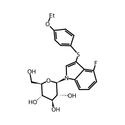 CCOc1ccc(Sc2cn([C@@H]3O[C@H](CO)[C@@H](O)[C@H](O)[C@H]3O)c3cccc(F)c23)cc1